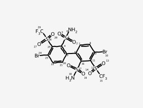 NS(=O)(=O)c1c(-c2ccc(Br)c(S(=O)(=O)C(F)(F)F)c2S(N)(=O)=O)ccc(Br)c1S(=O)(=O)C(F)(F)F